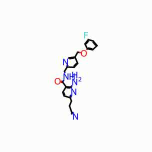 N#CCCc1ccc(C(=O)NCc2ccc(COc3cccc(F)c3)cn2)c(N)n1